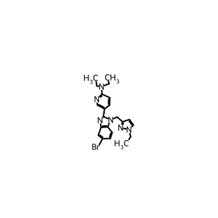 CCN(CC)c1ccc(-c2nc3cc(Br)ccc3n2Cc2ccn(CC)n2)cn1